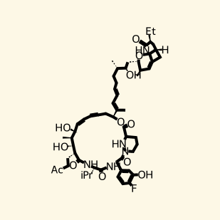 CC[C@H]1C[C@@H]2CC3=C[C@@H](C)[C@H](C[C@H](O)[C@@H](C)CC/C=C/C=C(\C)[C@@H]4C/C=C/C=C/[C@H](O)[C@H](C)[C@@H](O)[C@@H](CCC(C)=O)C(=O)N[C@@H](C(C)C)C(=O)NC(c5ccc(F)c(O)c5)C(=O)N5CCCC(N5)C(=O)O4)O[C@@]32NC1=O